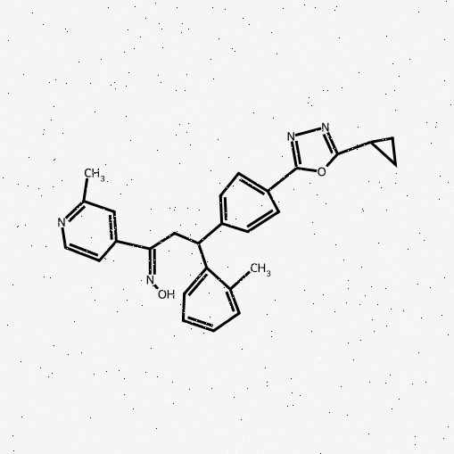 Cc1cc(/C(CC(c2ccc(-c3nnc(C4CC4)o3)cc2)c2ccccc2C)=N/O)ccn1